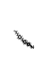 CCCCC[C@H]1CC[C@H](CCC2CCC(c3ccc(C#N)cc3)CC2)CC1